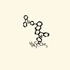 CC(C)(C)c1ccc(-n2c3ccccc3c3c4cc5cccc(-c6ccc(-n7c8ccccc8c8ccccc87)cc6)c5cc4ccc32)cc1